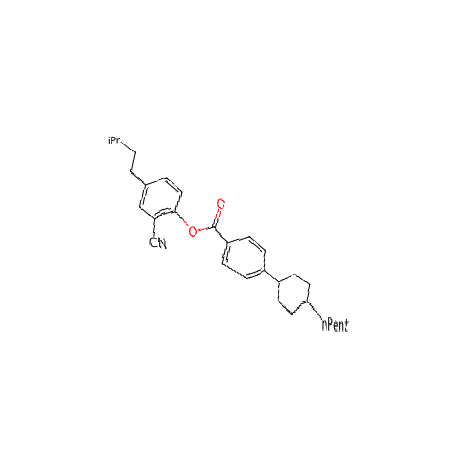 CCCCCC1CCC(c2ccc(C(=O)Oc3ccc(CCC(C)C)cc3C#N)cc2)CC1